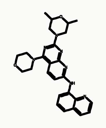 CC1CN(c2nc(N3CCOCC3)c3ccc(Nc4cccc5cccnc45)nc3n2)CC(C)O1